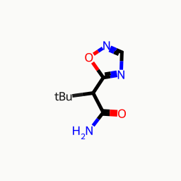 CC(C)(C)C(C(N)=O)c1ncno1